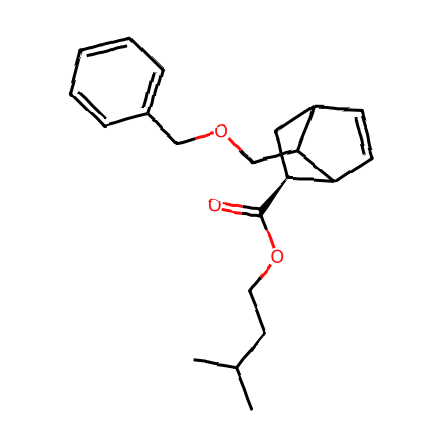 CC(C)CCOC(=O)[C@H]1CC2C=CC1C2COCc1ccccc1